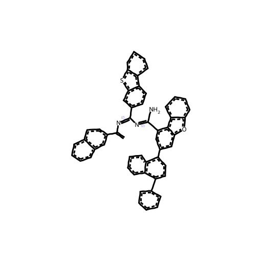 C=C(/N=C(\N=C(/N)c1cc(-c2ccc(-c3ccccc3)c3ccccc23)cc2oc3ccccc3c12)c1ccc2c(c1)sc1ccccc12)c1ccc2ccccc2c1